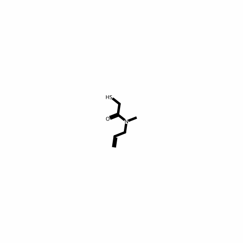 C=CCN(C)C(=O)CS